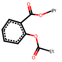 CCC(=O)Oc1ccccc1C(=O)OC(C)C